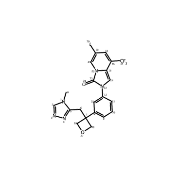 Cn1cnnc1CC1(c2cccc(-n3cc4c(C(F)(F)F)cc(I)cn4c3=O)c2)COC1